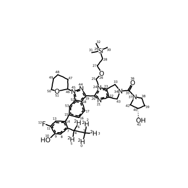 [2H]C([2H])([2H])C([2H])([2H])c1cc(O)c(F)cc1-c1ccc2c(-c3nc4c(n3COCC[Si](C)(C)C)CN(C(=O)N3CC[C@H](O)C3)C4)nn(C3CCCCO3)c2c1